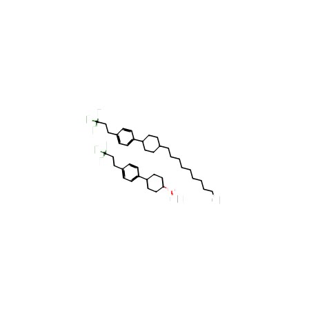 CCCCCCCCCCC1CCC(c2ccc(CCC(F)(F)F)cc2)CC1.COC1CCC(c2ccc(CCC(F)(F)F)cc2)CC1